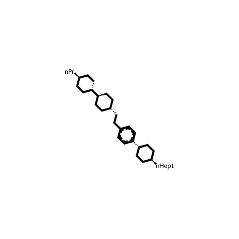 CCCCCCC[C@H]1CC[C@H](c2ccc(CC[C@H]3CC[C@H]([C@H]4CC[C@H](CCC)CC4)CC3)cc2)CC1